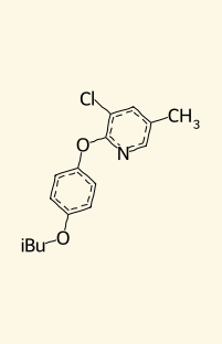 CCC(C)Oc1ccc(Oc2ncc(C)cc2Cl)cc1